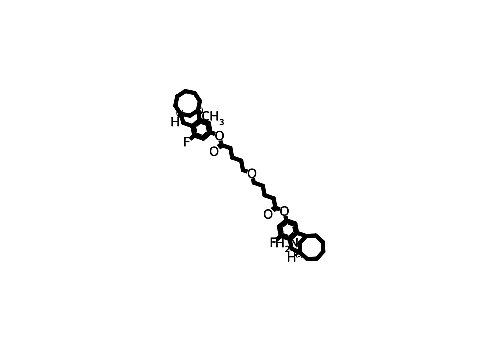 C[C@@]12CCCCC[C@@H](Cc3c(F)cc(OC(=O)CCCCOCCCCC(=O)Oc4cc(F)c5c(c4)C4CCCCC[C@@H](C5)C4N)cc31)C2